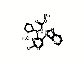 C[C@@H]1CCC[C@@H]1N(NC(=O)OC(C)(C)C)c1nc(Cl)ncc1-n1nnc2ccccc21